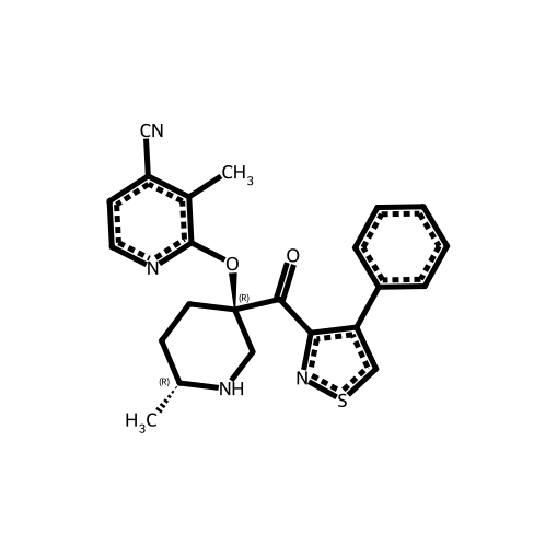 Cc1c(C#N)ccnc1O[C@]1(C(=O)c2nscc2-c2ccccc2)CC[C@@H](C)NC1